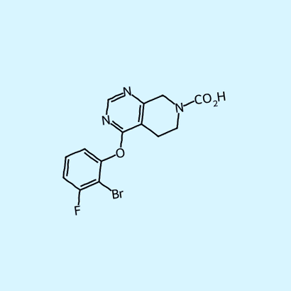 O=C(O)N1CCc2c(ncnc2Oc2cccc(F)c2Br)C1